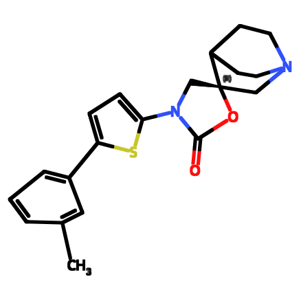 Cc1cccc(-c2ccc(N3C[C@@]4(CN5CCC4CC5)OC3=O)s2)c1